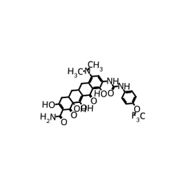 CN(C)c1cc(NC(=O)Nc2ccc(OC(F)(F)F)cc2)c(O)c2c1CC1CC3CC(O)=C(C(N)=O)C(=O)[C@@]3(O)C(O)=C1C2=O